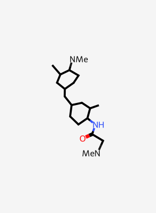 CNCC(=O)NC1CCC(CC2CCC(NC)C(C)C2)CC1C